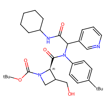 CC(C)(C)OC(=O)N1CC(CO)[C@@H]1C(=O)N(c1ccc(C(C)(C)C)cc1)C(C(=O)NC1CCCCC1)c1cccnc1